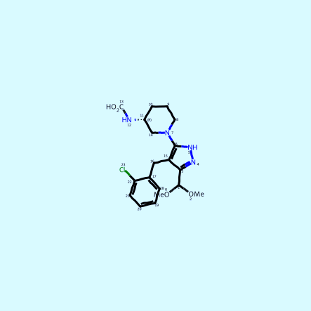 COC(OC)c1n[nH]c(N2CCC[C@@H](NC(=O)O)C2)c1Cc1ccccc1Cl